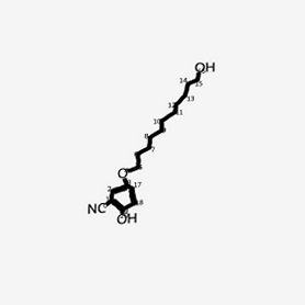 N#Cc1cc(OCCCCCCCCCCCO)ccc1O